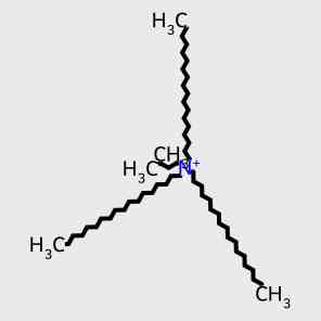 CCCCCCCCCCCCCCCCCC[N+](CCCCCCCCCCCCCCCCCC)(CCCCCCCCCCCCCCCCCC)CCC(C)C